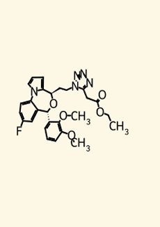 CCOC(=O)Cc1nnnn1CC[C@H]1O[C@H](c2cccc(OC)c2OC)c2cc(F)ccc2-n2cccc21